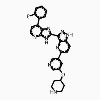 Fc1ccccc1-c1ccnc2[nH]c(-c3n[nH]c4ccc(-c5cncc(OC6CCNCC6)c5)nc34)nc12